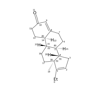 CCC1=CC[C@H]2[C@@H]3CCC4=CC(=O)CC[C@@H]4[C@H]3CC[C@]12C